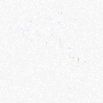 C=CN(C)Cc1cc(N2CC[C@@]3(C[C@@H]3CN(C)C)C2=O)ccc1N(/C=C\NC)C(C)C#N